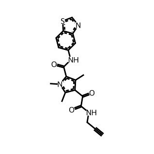 C#CCNC(=O)C(=O)c1c(C)c(C(=O)Nc2ccc3scnc3c2)n(C)c1C